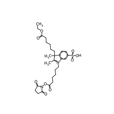 CCOC(=O)CCCCCC1(C)C(C)=[N+](CCCCCC(=O)ON2C(=O)CCC2=O)c2cc(S(=O)(=O)O)ccc21